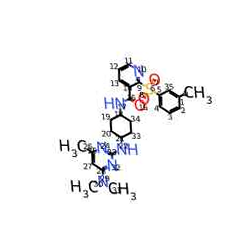 Cc1cccc(S(=O)(=O)c2ncccc2C(=O)NC2CCC(Nc3nc(C)cc(N(C)C)n3)CC2)c1